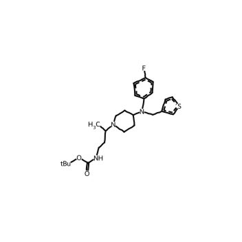 CC(CCNC(=O)OC(C)(C)C)N1CCC(N(Cc2ccsc2)c2ccc(F)cc2)CC1